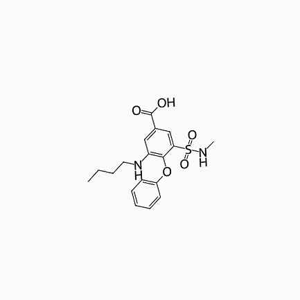 CCCCNc1cc(C(=O)O)cc(S(=O)(=O)NC)c1Oc1ccccc1